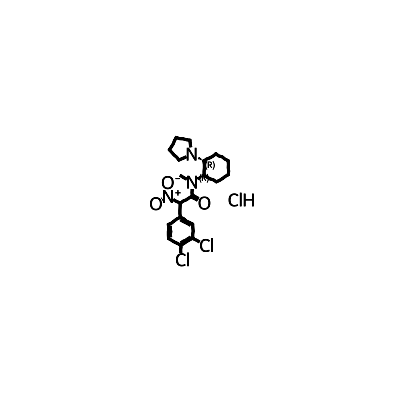 CN(C(=O)C(c1ccc(Cl)c(Cl)c1)[N+](=O)[O-])[C@@H]1CCCC[C@H]1N1CCCC1.Cl